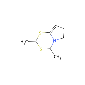 CC1SC2=CCCN2C(C)S1